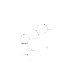 CC=NOC(c1ccccc1C(=NOC)C(N)=O)c1cc(F)c(F)c(C)c1F